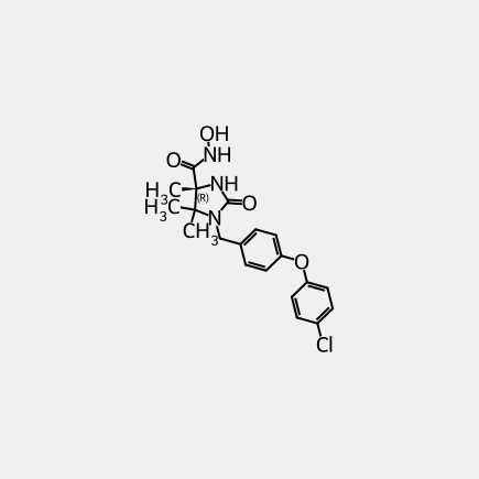 CC1(C)N(Cc2ccc(Oc3ccc(Cl)cc3)cc2)C(=O)N[C@@]1(C)C(=O)NO